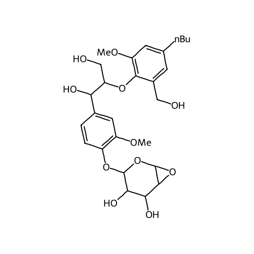 CCCCc1cc(CO)c(OC(CO)C(O)c2ccc(OC3OC4OC4C(O)C3O)c(OC)c2)c(OC)c1